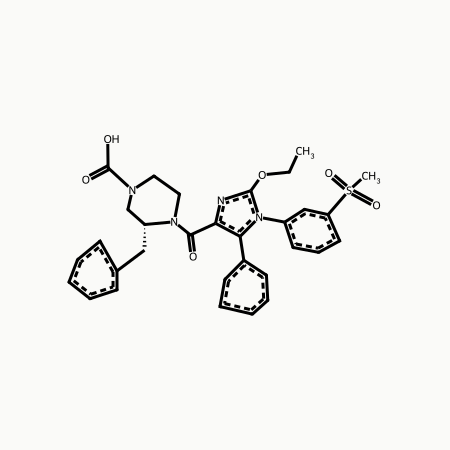 CCOc1nc(C(=O)N2CCN(C(=O)O)C[C@H]2Cc2ccccc2)c(-c2ccccc2)n1-c1cccc(S(C)(=O)=O)c1